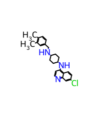 Cc1ccc(CN[C@H]2CC[C@@H](Nc3ccnc4cc(Cl)ccc34)CC2)cc1C